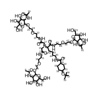 CC(=O)NC1C(OCCOCCNC(=O)CN(CC(=O)NCCOCCOC2OC(CO)C(O)C(O)C2NC(C)=O)C(CCCCNC(=O)C2CCC(OC(C)(C)C)CC2)C(=O)NCCOCCOC2OC(CO)C(O)C(O)C2NC(C)=O)OC(CO)C(O)C1O